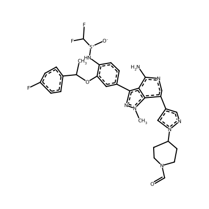 CC(Oc1cc(-c2nn(C)c3c(-c4cnn(C5CCN(C=O)CC5)c4)cnc(N)c23)ccc1N[S+]([O-])C(F)F)c1ccc(F)cc1